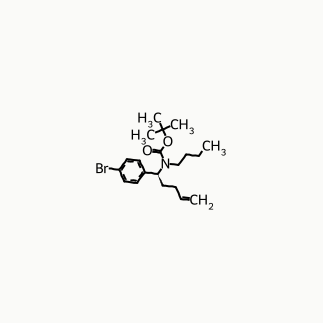 C=CCC[C@@H](c1ccc(Br)cc1)N(CCCC)C(=O)OC(C)(C)C